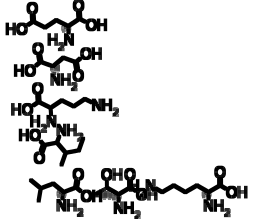 CC(C)C[C@H](N)C(=O)O.CCC(C)C(N)C(=O)O.C[C@@H](O)[C@H](N)C(=O)O.NCCCC(N)C(=O)O.NCCCC[C@H](N)C(=O)O.N[C@@H](CC(=O)O)C(=O)O.N[C@@H](CCC(=O)O)C(=O)O